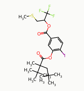 CSCC(OC(=O)c1ccc(I)c(OC(=O)C(C)(CC(C)(C)C)C(C)(C)C)c1)C(F)(F)F